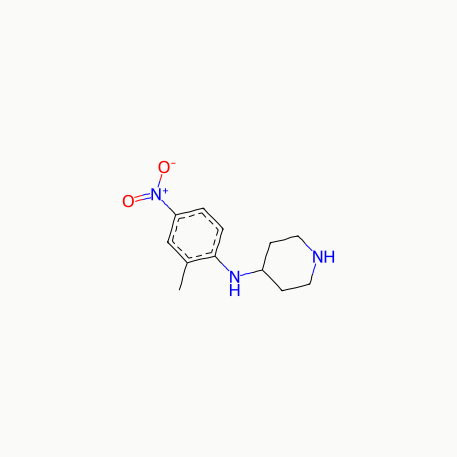 Cc1cc([N+](=O)[O-])ccc1NC1CCNCC1